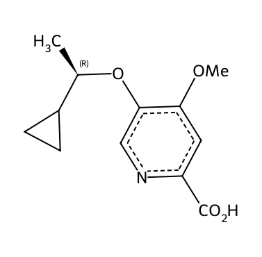 COc1cc(C(=O)O)ncc1O[C@H](C)C1CC1